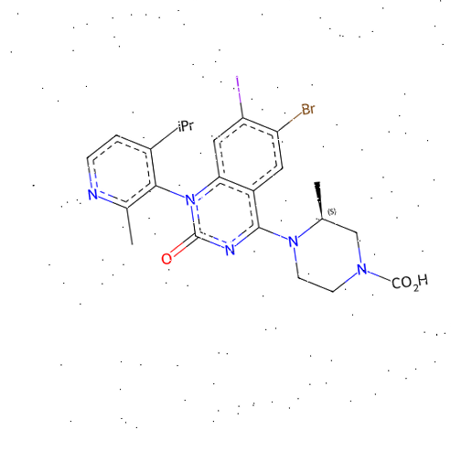 Cc1nccc(C(C)C)c1-n1c(=O)nc(N2CCN(C(=O)O)C[C@@H]2C)c2cc(Br)c(I)cc21